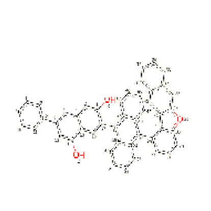 Oc1cc2cc(-c3ccccc3)cc(O)c2cc1-c1c2ccccc2c(-c2cccc3oc4cc5ccccc5cc4c23)c2ccccc12